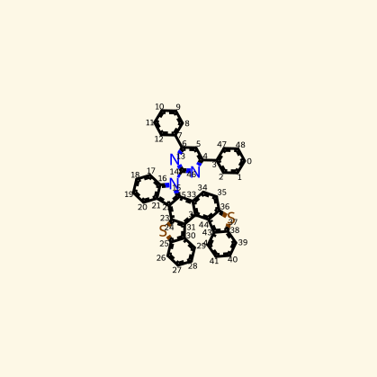 c1ccc(-c2cc(-c3ccccc3)nc(-n3c4ccccc4c4c5sc6ccccc6c5c5c(ccc6sc7ccccc7c65)c43)n2)cc1